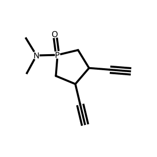 C#CC1CP(=O)(N(C)C)CC1C#C